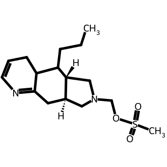 CCCC1C2CC=CN=C2C[C@@H]2CN(COS(C)(=O)=O)C[C@@H]12